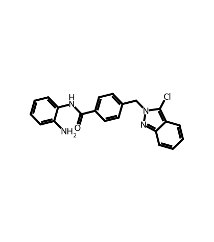 Nc1ccccc1NC(=O)c1ccc(Cn2nc3ccccc3c2Cl)cc1